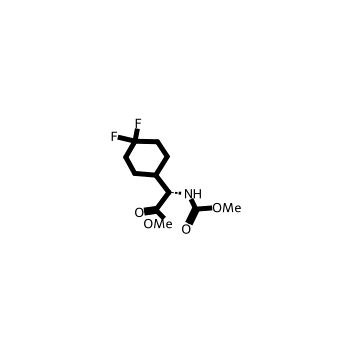 COC(=O)N[C@H](C(=O)OC)C1CCC(F)(F)CC1